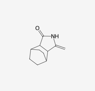 C=C1NC(=O)C2C3CCC(CC3)C12